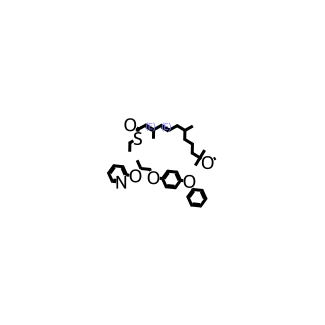 CC(COc1ccc(Oc2ccccc2)cc1)Oc1ccccn1.CCSC(=O)/C=C(C)/C=C/CC(C)CCCC(C)(C)OC